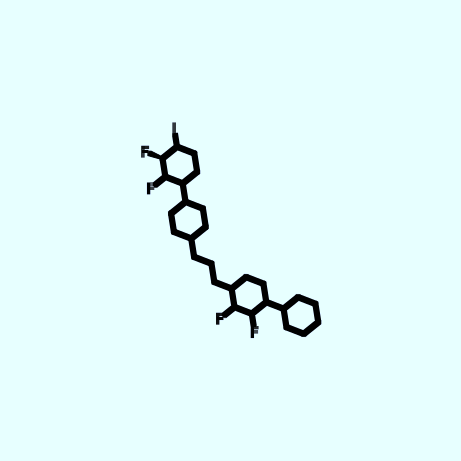 FC1C(CCCC2CCC(C3CCC(I)[C@H](F)C3F)CC2)CCC(C2CCCCC2)C1F